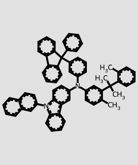 Cc1ccccc1C(C)(C)c1cc(N(c2cccc(C3(c4ccccc4)c4ccccc4-c4ccccc43)c2)c2ccc3c(c2)c2ccccc2n3-c2ccc3ccccc3c2)ccc1C